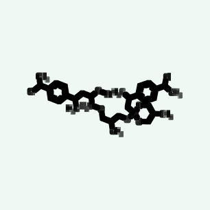 CCOC(CC(C)c1ccc(C(C)Cl)cc1)[SiH2]OCC(C)CO[Si]1(CC(C)c2ccc(C(C)Cl)cc2)OCC(C)CO1